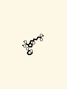 COC(=O)CCCC1CC2C(CC(OC3CCCCO3)C2C(OC)OC)O1